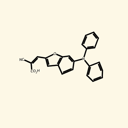 N#C/C(=C/c1cc2ccc(N(c3ccccc3)c3ccccc3)cc2o1)C(=O)O